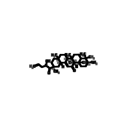 C=CCN(O)C(=O)[C@@]1(C)CC[C@]2(C)CC[C@]3(C)C(=CC(=O)[C@@H]4[C@@]5(C)CC[C@H](N)C(C)(C)C5CC[C@]43C)[C@@H]2C1